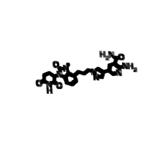 Cn1c(=O)n(C2CCC(=O)NC2=O)c2cccc(CCCn3cc(-c4cnc(N)c(C(N)=O)c4)cn3)c21